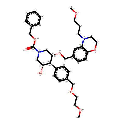 COCCCN1CCOc2ccc(CO[C@H]3CN(C(=O)OCc4ccccc4)C[C@@H](O)[C@@H]3c3ccc(COCCOC)cc3)cc21